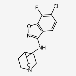 Fc1c(Cl)ccc2c(NC3CN4CCC3CC4)noc12